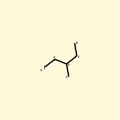 CCC(C)[CH]I